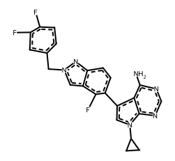 Nc1ncnc2c1c(-c1ccc3nn(Cc4ccc(F)c(F)c4)cc3c1F)cn2C1CC1